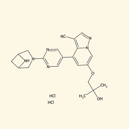 CC(C)(O)COc1cc(-c2cnc(N3CC4CC(C3)N4)nc2)c2c(C#N)cnn2c1.Cl.Cl